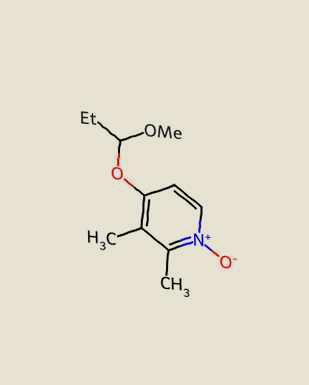 CCC(OC)Oc1cc[n+]([O-])c(C)c1C